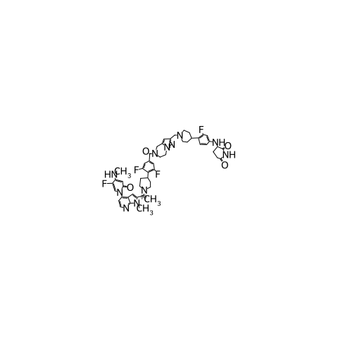 CNc1cc(=O)n(-c2ccnc3c2cc([C@@H](C)N2CCC(c4c(F)cc(C(=O)N5CCn6nc(CN7CCC(c8ccc(NC9CCC(=O)NC9=O)cc8F)CC7)cc6C5)cc4F)CC2)n3C)cc1F